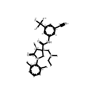 CCN(C)C[C@@]1(C(=O)Nc2cc(C#N)cc(C(F)(F)F)c2)CN(c2c(C)cccc2C)C(=O)[C@H]1C